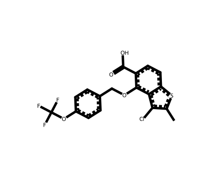 Cc1sc2ccc(C(=O)O)c(OCc3ccc(OC(F)(F)F)cc3)c2c1Cl